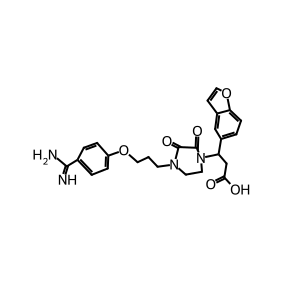 N=C(N)c1ccc(OCCCN2CCN(C(CC(=O)O)c3ccc4occc4c3)C(=O)C2=O)cc1